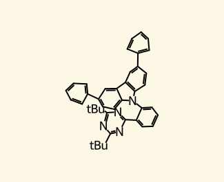 CC(C)(C)c1nc(-c2ccccc2-n2c3ccc(-c4ccccc4)cc3c3cc(-c4ccccc4)ccc32)nc(C(C)(C)C)n1